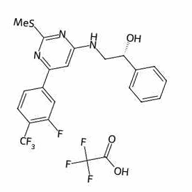 CSc1nc(NC[C@H](O)c2ccccc2)cc(-c2ccc(C(F)(F)F)c(F)c2)n1.O=C(O)C(F)(F)F